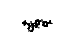 CC(C)c1cccc(Oc2ccc(C3=NC(C4=CC=C4)=C4C=NC=C[N+]34N)cc2)c1